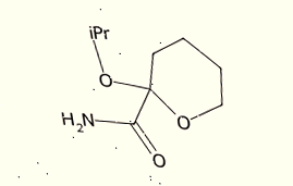 CC(C)OC1(C(N)=O)CCCCO1